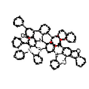 c1ccc(-c2cccc(-c3cccc(-c4cccc(-c5ccccc5)c4)c3N3c4cc5c(cc4B4c6ccccc6N(c6ccccc6)c6c4c3cc3oc4ccccc4c63)B3c4ccccc4Oc4c3c(cc3oc6ccccc6c43)N5c3ccccc3)c2)cc1